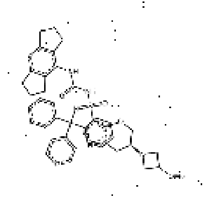 COC1CN([C@@H]2COc3c(S(=O)(=NC(c4ccccc4)(c4ccccc4)c4ccccc4)NC(=O)Nc4c5c(cc6c4CCC6)CCC5)cnn3C2)C1